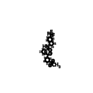 CS(=O)(=O)c1cccc(C(=O)N2CCC[C@@H]2C(=O)N[C@@H]2CCc3cc(C(F)(F)F)ccc32)c1